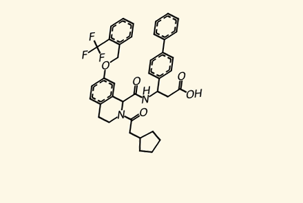 O=C(O)CC(NC(=O)C1c2cc(OCc3ccccc3C(F)(F)F)ccc2CCN1C(=O)CC1CCCC1)c1ccc(-c2ccccc2)cc1